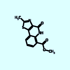 COC(=O)c1cccc2c1[nH]c(=O)c1nc(C)sc12